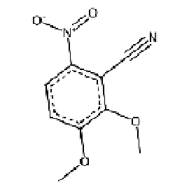 COc1ccc([N+](=O)[O-])c(C#N)c1OC